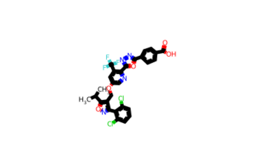 CC(C)c1onc(-c2c(Cl)cccc2Cl)c1COc1cnc(-c2nnc(-c3ccc(C(=O)O)cc3)o2)c(C(F)(F)F)c1